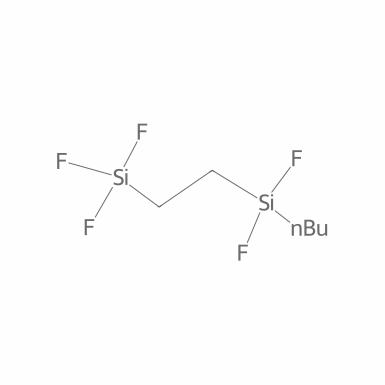 CCCC[Si](F)(F)CC[Si](F)(F)F